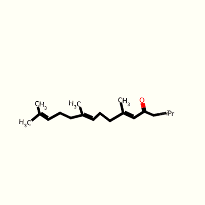 CC(C)=CCC/C(C)=C/CC/C(C)=C/C(=O)CC(C)C